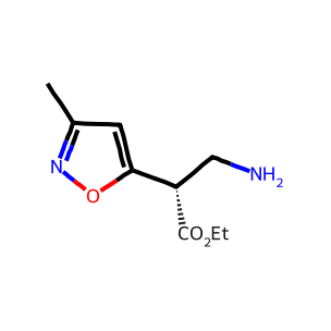 CCOC(=O)[C@@H](CN)c1cc(C)no1